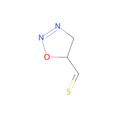 S=CC1CN=NO1